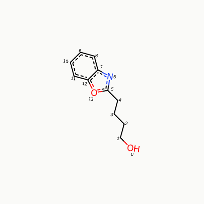 OCCCCc1nc2ccccc2o1